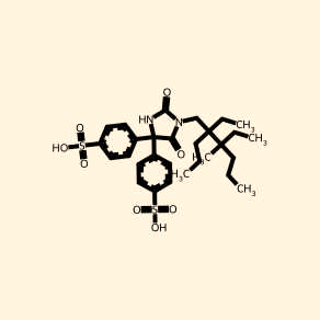 CCCC(C)(CC)C(CC)(CCC)CN1C(=O)NC(c2ccc(S(=O)(=O)O)cc2)(c2ccc(S(=O)(=O)O)cc2)C1=O